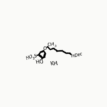 CCCCCCCCCCCCCCCCC(C)Oc1ccc(O)c(S(=O)(=O)O)c1.[KH]